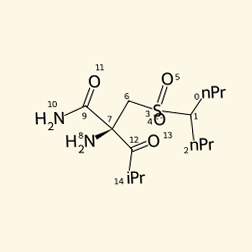 CCCC(CCC)S(=O)(=O)C[C@@](N)(C(N)=O)C(=O)C(C)C